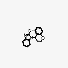 Nc1nc2ccccc2n1C1CCOc2ccccc21